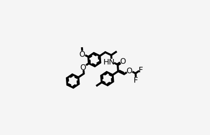 COc1cc(CC(C)NC(=O)/C(=C\OC(F)F)c2ccc(C)cc2)ccc1OCc1ccccc1